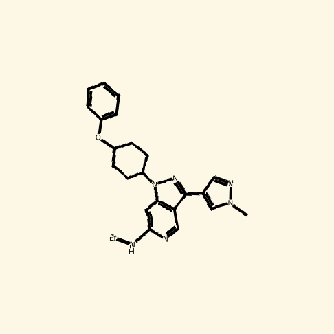 CCNc1cc2c(cn1)c(-c1cnn(C)c1)nn2C1CCC(Oc2ccccc2)CC1